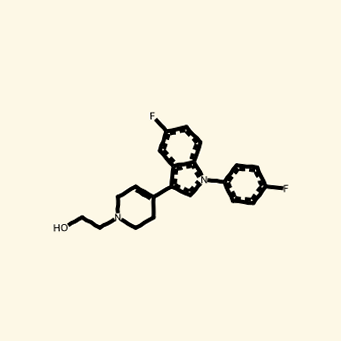 OCCN1CC=C(c2cn(-c3ccc(F)cc3)c3ccc(F)cc23)CC1